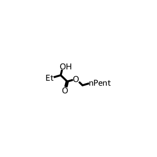 CCCCCCOC(=O)C(O)CC